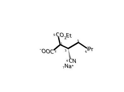 CCOC(=O)C(C(=O)[O-])[C@@H](C#N)CC(C)C.[Na+]